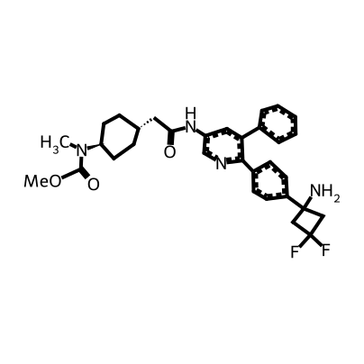 COC(=O)N(C)[C@H]1CC[C@H](CC(=O)Nc2cnc(-c3ccc(C4(N)CC(F)(F)C4)cc3)c(-c3ccccc3)c2)CC1